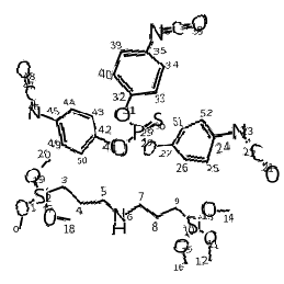 CO[Si](CCCNCCC[Si](OC)(OC)OC)(OC)OC.O=C=Nc1ccc(OP(=S)(Oc2ccc(N=C=O)cc2)Oc2ccc(N=C=O)cc2)cc1